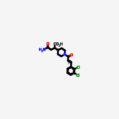 NC(=O)CC(C(=O)O)C1CCN(C(=O)/C=C/c2cccc(Cl)c2Cl)CC1